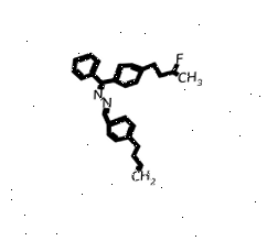 C=CCCc1ccc(C=NN=C(c2ccccc2)c2ccc(CCC(C)F)cc2)cc1